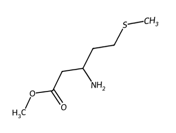 COC(=O)CC(N)CCSC